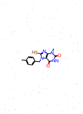 Cc1ccc(Cn2c(S)nc3c2c(=O)[nH]c(=O)n3C)cc1